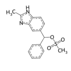 Cc1nc2cc(C(OS(C)(=O)=O)c3ccccc3)ccc2[nH]1